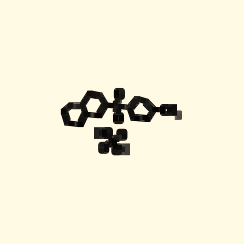 Cc1ccc(S(=O)(=O)c2ccc3ccccc3c2)cc1.O=S(=O)(O)O